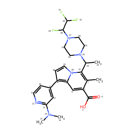 Cc1c(C(=O)O)cc2c(-c3ccnc(N(C)C)c3)ccn2c1C(C)N1CCN(C(F)C(F)F)CC1